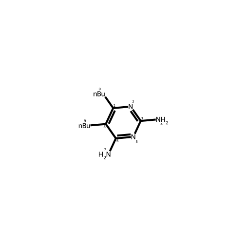 CCCCc1nc(N)nc(N)c1CCCC